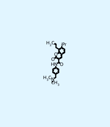 C=CCc1c(C(C)C)ccc2cc(C(=O)Nc3ccc(CN(C)C)cc3)c(=O)oc12